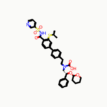 CC(C)Sc1cc(-c2ccc(CCN(C[C@H](OC3CCCCO3)c3ccccc3)C(=O)O)cc2)ccc1C(=O)NS(=O)(=O)c1cccnc1